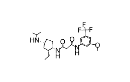 CC[C@H]1C[C@H](NC(C)C)CC[C@@H]1NC(=O)CC(=O)Nc1cc(OC)cc(C(F)(F)F)c1